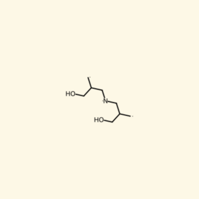 [CH2]C(CO)C[N]CC([CH2])CO